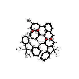 CC(C)(C)c1cc(-c2cccc3cccc(-c4ccccc4N(c4cccc5c4-c4ccccc4C5(C)C)c4cccc5c4-c4ccccc4C5(C)C)c23)cc(C(C)(C)C)c1